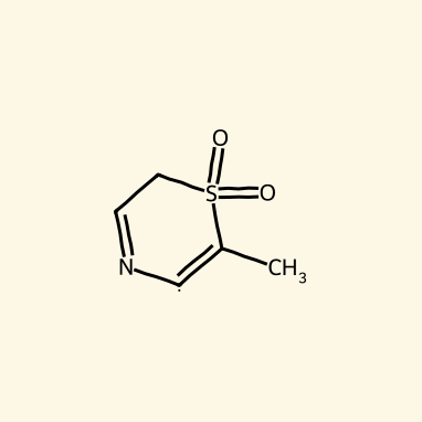 CC1=[C]N=CCS1(=O)=O